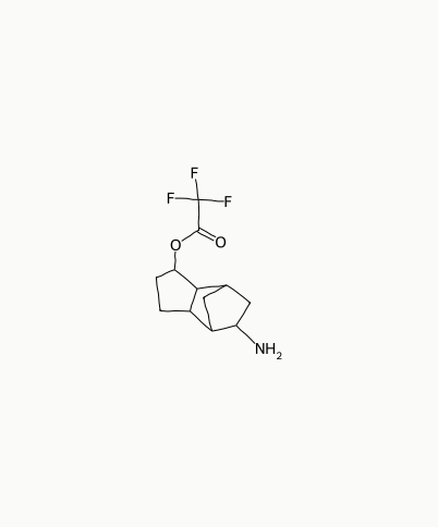 NC1CC2CC1C1CCC(OC(=O)C(F)(F)F)C21